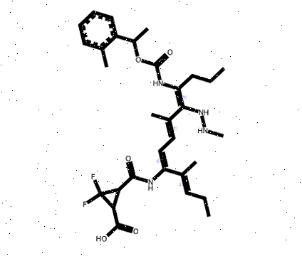 CC/C=C(C)/C(=C\C=C(C)\C(NNC)=C(\CCC)NC(=O)OC(C)c1ccccc1C)NC(=O)C1C(C(=O)O)C1(F)F